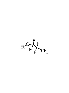 [CH2]COC(F)(F)C(F)(F)C(F)(F)F